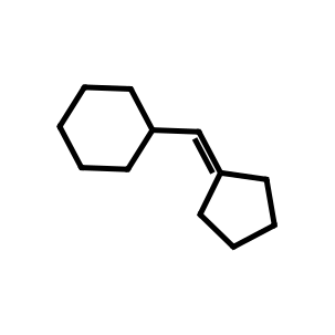 C(=C1CCCC1)C1CCCCC1